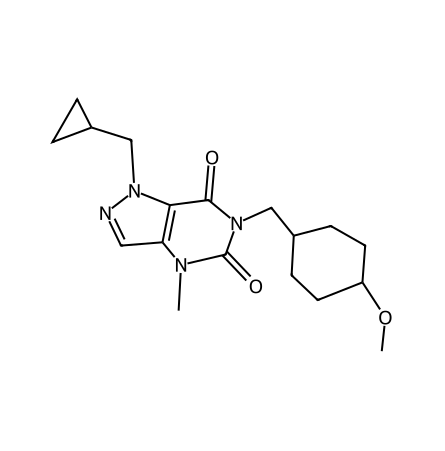 COC1CCC(Cn2c(=O)c3c(cnn3CC3CC3)n(C)c2=O)CC1